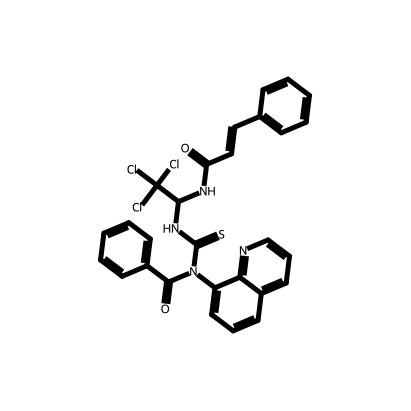 O=C(/C=C/c1ccccc1)NC(NC(=S)N(C(=O)c1ccccc1)c1cccc2cccnc12)C(Cl)(Cl)Cl